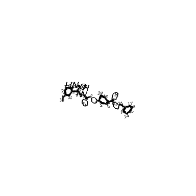 O=C(COc1ccc(C(=O)OCc2ccccc2)cc1)N/N=C1\C(=O)Nc2ccc(I)cc21